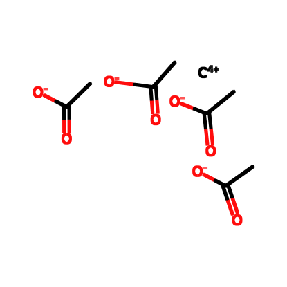 CC(=O)[O-].CC(=O)[O-].CC(=O)[O-].CC(=O)[O-].[C+4]